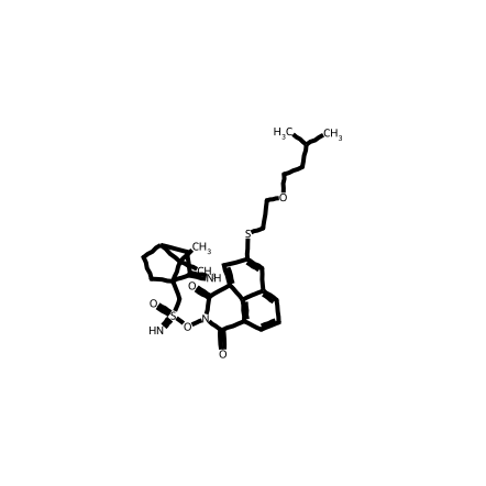 CC(C)CCOCCSc1cc2c3c(cccc3c1)C(=O)N(OS(=N)(=O)CC13CCC(CC1=N)C3(C)C)C2=O